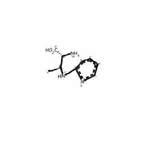 C[C@H](Nc1ccccn1)[C@@H](N)C(=O)O